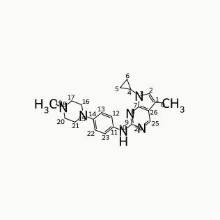 Cc1cn(C2CC2)c2nc(Nc3ccc(N4CCN(C)CC4)cc3)ncc12